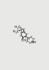 C=c1cc2c(cc1N1CCNCC1)=CC2(C)C